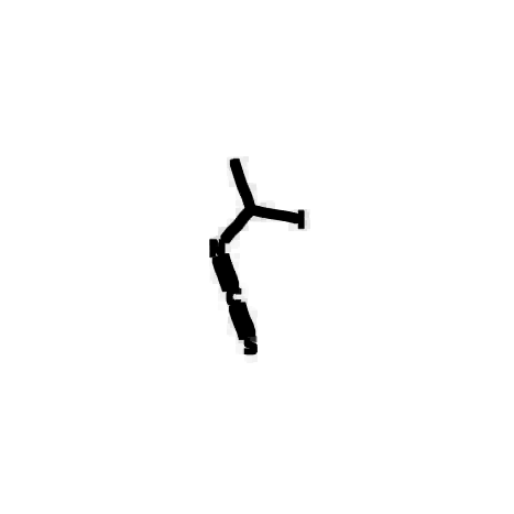 CC(I)N=C=S